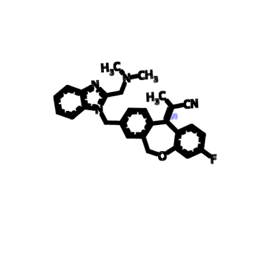 C/C(C#N)=C1\c2ccc(Cn3c(CN(C)C)nc4ccccc43)cc2COc2cc(F)ccc21